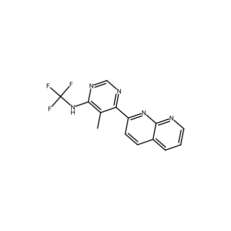 Cc1c(NC(F)(F)F)ncnc1-c1ccc2cccnc2n1